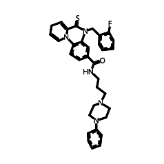 O=C(NCCCN1CCN(c2ccccc2)CC1)c1ccc2c(c1)N(Cc1ccccc1F)C(=S)C1=CCC=CN12